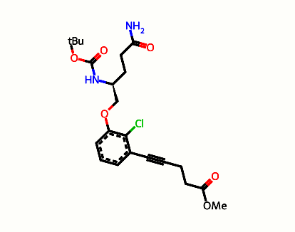 COC(=O)CCC#Cc1cccc(OC[C@H](CCC(N)=O)NC(=O)OC(C)(C)C)c1Cl